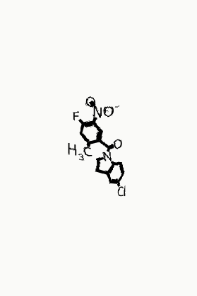 Cc1cc(F)c([N+](=O)[O-])cc1C(=O)N1CCc2cc(Cl)ccc21